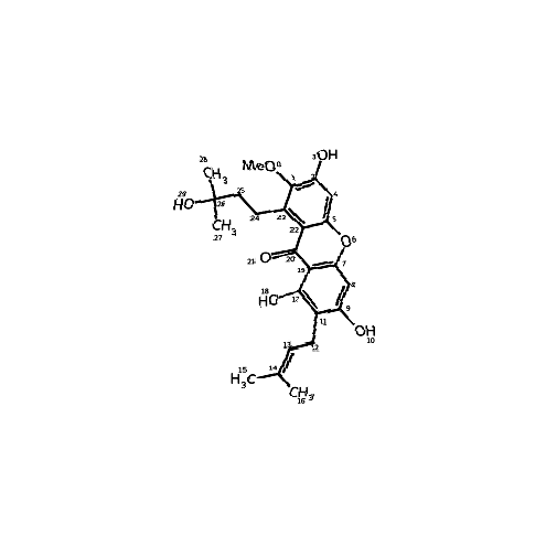 COc1c(O)cc2oc3cc(O)c(CC=C(C)C)c(O)c3c(=O)c2c1CCC(C)(C)O